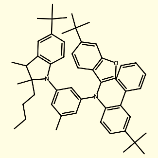 CCCCC1(C)C(C)c2cc(C(C)(C)C)ccc2N1c1cc(C)cc(N(c2ccc(C(C)(C)C)cc2-c2ccccc2)c2coc3cc(C(C)(C)C)ccc23)c1